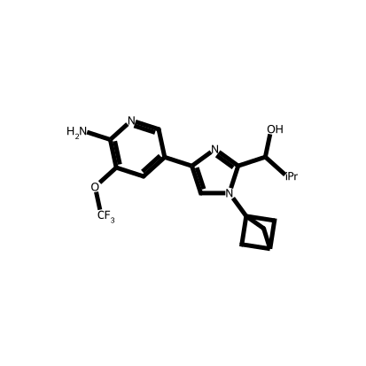 CC(C)C(O)c1nc(-c2cnc(N)c(OC(F)(F)F)c2)cn1C12CC(C1)C2